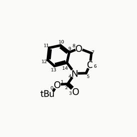 CC(C)(C)OC(=O)N1CCCOc2ccccc21